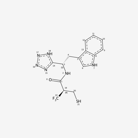 O=C(N[C@@H](Cc1c[nH]c2ccccc12)c1nnn[nH]1)[C@@H](CS)C(F)(F)F